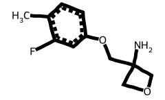 Cc1ccc(OCC2(N)COC2)cc1F